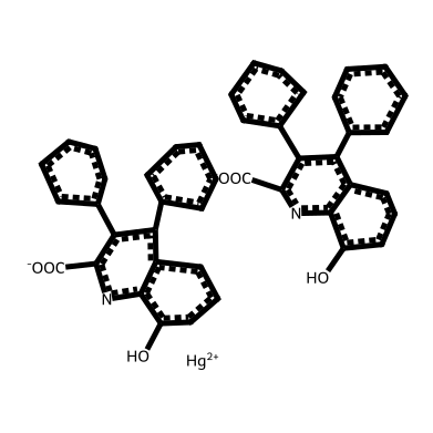 O=C([O-])c1nc2c(O)cccc2c(-c2ccccc2)c1-c1ccccc1.O=C([O-])c1nc2c(O)cccc2c(-c2ccccc2)c1-c1ccccc1.[Hg+2]